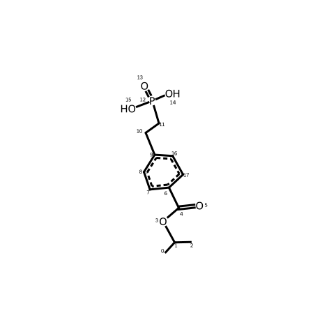 CC(C)OC(=O)c1ccc(CCP(=O)(O)O)cc1